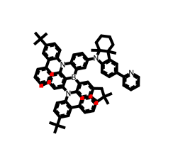 Cc1cc2c3c(c1)N(c1ccc(C(C)(C)C)cc1-c1ccccc1)c1cc4c(cc1B3c1cc(N3c5ccc(-c6ccccn6)cc5C5(C)CCCCC35C)ccc1N2c1ccc(C(C)(C)C)cc1-c1ccccc1)CC(C)(C)C4